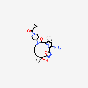 Nc1cc(C(F)(F)F)c2nc1-c1nnc(o1)[C@@](O)(C(F)(F)F)CCCCCN(C1CCN(C(=O)C3CC3)CC1)C2=O